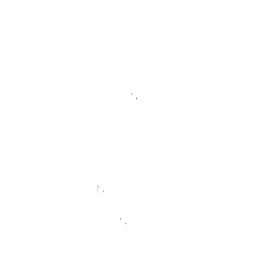 O=C(N(CCOc1cc(Cl)cc2[nH]c(=S)[nH]c12)Cc1cccs1)C(F)(F)F